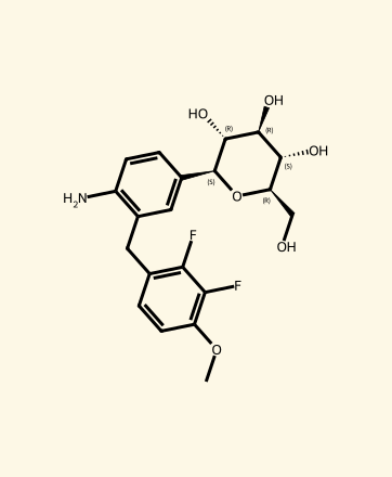 COc1ccc(Cc2cc([C@@H]3O[C@H](CO)[C@@H](O)[C@H](O)[C@H]3O)ccc2N)c(F)c1F